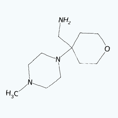 CN1CCN(C2(CN)CCOCC2)CC1